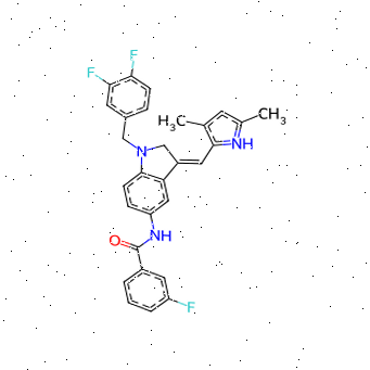 Cc1cc(C)c(/C=C2\CN(Cc3ccc(F)c(F)c3)c3ccc(NC(=O)c4cccc(F)c4)cc32)[nH]1